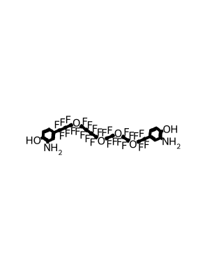 Nc1cc(C(F)(F)C(F)(F)OC(F)(F)C(F)(F)OC(F)(F)C(F)(F)OC(F)(F)C(F)(F)C(F)(F)C(F)(F)OC(F)(F)C(F)(F)C(F)(F)c2ccc(O)c(N)c2)ccc1O